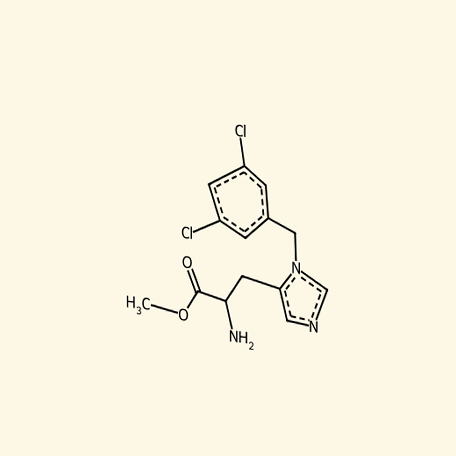 COC(=O)C(N)Cc1cncn1Cc1cc(Cl)cc(Cl)c1